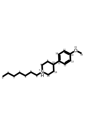 CCCCCCC[SiH]1CCC(c2ccc(OC)cc2)CC1